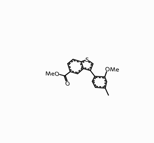 COC(=O)c1ccc2scc(-c3ccc(C)cc3OC)c2c1